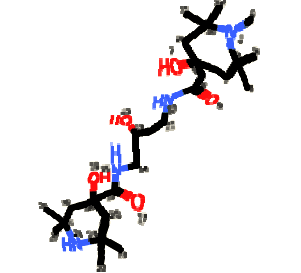 CN1C(C)(C)CC(O)(C(=O)NCC(O)CNC(=O)C2(O)CC(C)(C)NC(C)(C)C2)CC1(C)C